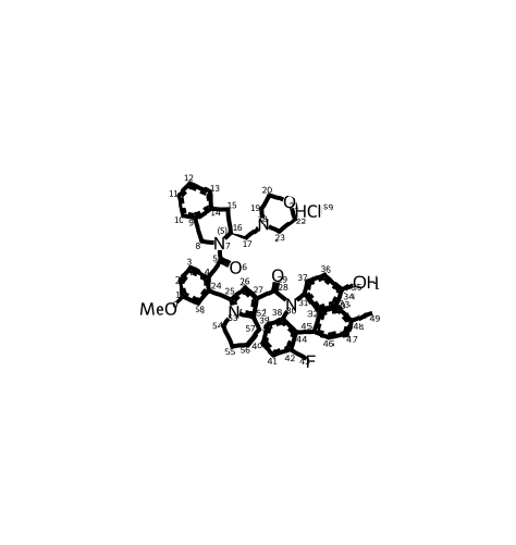 COc1ccc(C(=O)N2Cc3ccccc3C[C@H]2CN2CCOCC2)c(-c2cc(C(=O)N(c3ccc(O)cc3)c3cccc(F)c3-c3ccc(C)cc3)c3n2CCCC3)c1.Cl